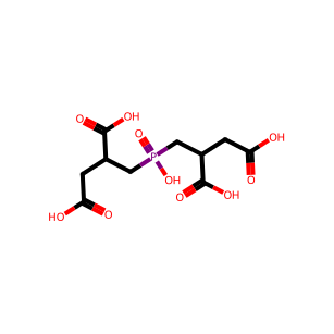 O=C(O)CC(CP(=O)(O)CC(CC(=O)O)C(=O)O)C(=O)O